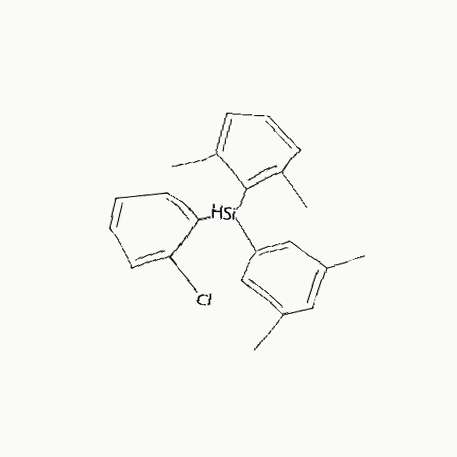 Cc1cc(C)cc([SiH](c2ccccc2Cl)c2c(C)cccc2C)c1